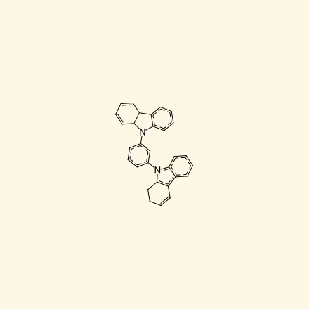 C1=CC2c3ccccc3N(c3cccc(-n4c5c(c6ccccc64)C=CCC5)c3)C2C=C1